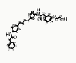 O=C(Cc1ccccc1)Nc1ccc(CCCCc2nnc(NC(O)Cc3cccc(OCCO)c3)s2)nn1